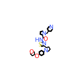 O=C(Nc1nc(C2CCCN2c2ccc(OC3CCOC3)cc2)cs1)c1cccn1Cc1ccncc1